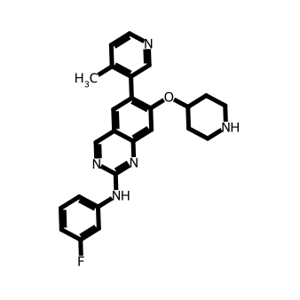 Cc1ccncc1-c1cc2cnc(Nc3cccc(F)c3)nc2cc1OC1CCNCC1